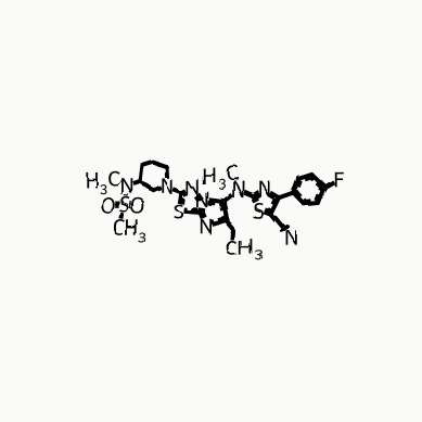 CCc1nc2sc(N3CCCC(N(C)S(C)(=O)=O)C3)nn2c1N(C)c1nc(-c2ccc(F)cc2)c(C#N)s1